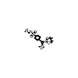 CN(C)C=NS(=O)(=O)c1ccc(C2[C@H](B3OC(C)(C)C(C)(C)O3)[C@H]2[Si](C)(C)C)cc1